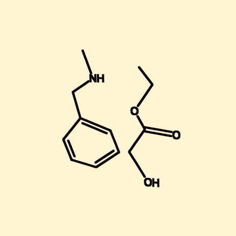 CCOC(=O)CO.CNCc1ccccc1